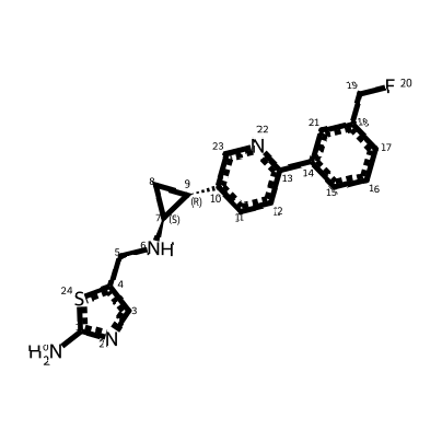 Nc1ncc(CN[C@H]2C[C@@H]2c2ccc(-c3cccc(CF)c3)nc2)s1